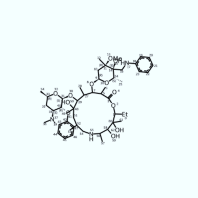 CCC1OC(=O)C(C)C(O[C@H]2C[C@@](C)(OC)[C@](O)(CNc3ccccc3)[C@H](C)O2)C(C)C(O[C@@H]2O[C@H](C)C[C@H](N(C)C)[C@H]2Oc2ccccc2)C(C)(O)CC(C)CNC(C)C(O)C1(C)O